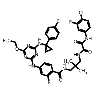 CC(C)(CNC(=O)C(=O)Nc1ccc(Cl)c(F)c1)CNC(=O)c1ccc(Nc2nc(NC3(c4ccc(Cl)cc4)CC3)nc(OCC(F)(F)F)n2)cc1F